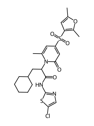 Cc1cc(S(=O)(=O)c2cc(C)n(C(CC3CCCCC3)C(=O)Nc3ncc(Cl)s3)c(=O)c2)c(C)o1